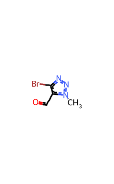 Cn1nnc(Br)c1C=O